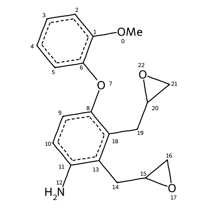 COc1ccccc1Oc1ccc(N)c(CC2CO2)c1CC1CO1